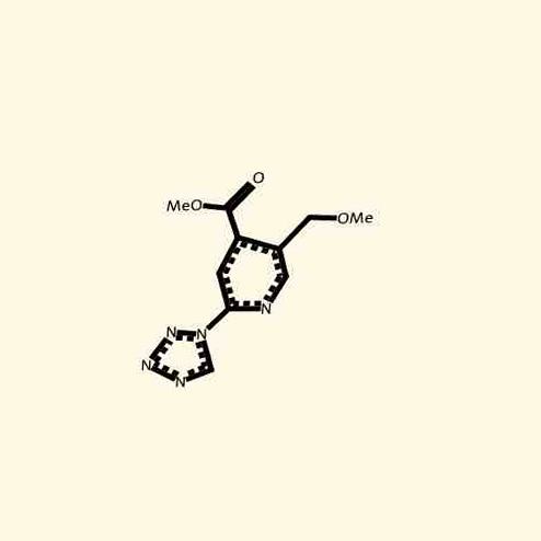 COCc1cnc(-n2cnnn2)cc1C(=O)OC